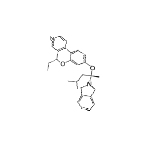 CCC1Oc2cc(O[C@@](C)(CC(C)C)N3Cc4ccccc4C3)ccc2-c2ccncc21